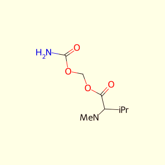 CNC(C(=O)OCOC(N)=O)C(C)C